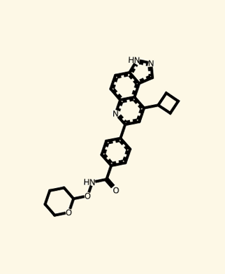 O=C(NOC1CCCCO1)c1ccc(-c2cc(C3CCC3)c3c(ccc4[nH]ncc43)n2)cc1